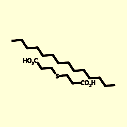 CCCCCCCCCCCCCC.O=C(O)CCSCCC(=O)O